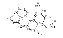 O=C1NC(=O)N(c2cccc3ccccc23)C(=O)C1C1CNCCN1CCO